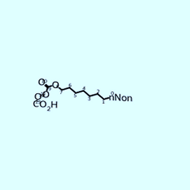 CCCCCCCCCCCCCCCCOC(=O)OOC(=O)O